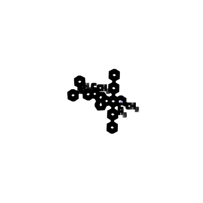 C=C/C=C\c1c(C)c(-c2ccc(-c3ccccc3)cc2)c2c(c1-c1ccc(-c3ccccc3)cc1)-c1cc3c(c4cccc-2c14)-c1ccc(N(c2ccccc2)c2ccccc2)cc1C3(C)C